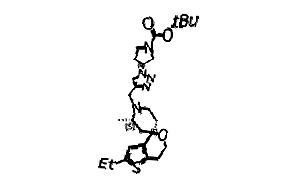 CCc1cc2c(s1)CCO[C@@]21CCN(Cc2cn([C@@H]3CCN(C(=O)OC(C)(C)C)C3)nn2)[C@@H](C)C1